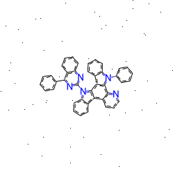 c1ccc(-c2nc(-n3c4ccccc4c4c5cccnc5c5c(c6ccccc6n5-c5ccccc5)c43)nc3ccccc23)cc1